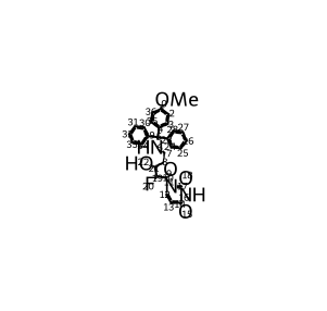 COc1ccc(C(NC[C@H]2O[C@@H](n3ccc(=O)[nH]c3=O)C(F)[C@H]2O)(c2ccccc2)c2ccccc2)cc1